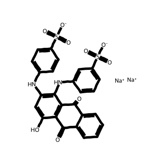 O=C1c2ccccc2C(=O)c2c(Nc3cccc(S(=O)(=O)[O-])c3)c(Nc3ccc(S(=O)(=O)[O-])cc3)cc(O)c21.[Na+].[Na+]